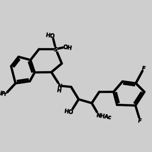 CC(=O)NC(Cc1cc(F)cc(F)c1)C(O)CNC1CS(O)(O)Cc2ccc(C(C)C)cc21